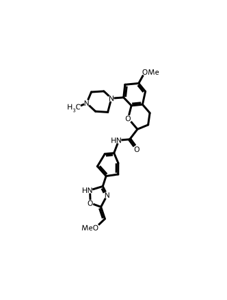 COC=C1N=C(c2ccc(NC(=O)C3CCc4cc(OC)cc(N5CCN(C)CC5)c4O3)cc2)NO1